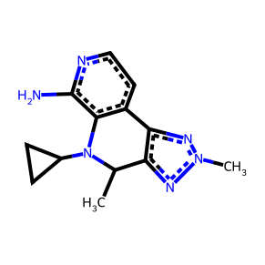 CC1c2nn(C)nc2-c2ccnc(N)c2N1C1CC1